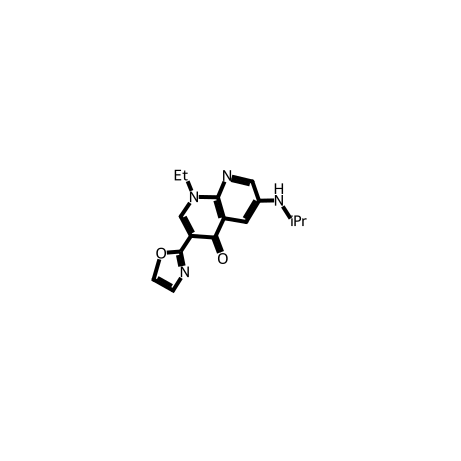 CCn1cc(-c2ncco2)c(=O)c2cc(NC(C)C)cnc21